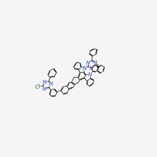 Clc1nc(-c2ccccc2)nc(-c2cccc(-c3ccc4cc5c(cc4c3)Cc3c(c4c6ccccc6n(-c6ccccc6)c4c4c3c3ccccc3n4-c3nc(-c4ccccc4)nc(-c4ccccc4)n3)C5)c2)n1